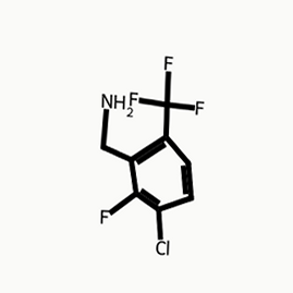 NCc1c(C(F)(F)F)ccc(Cl)c1F